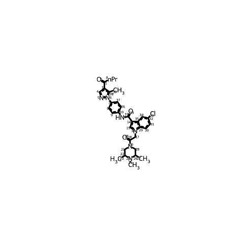 CCCC(=O)c1cnn(-c2ccc(NC(=O)c3cn(CC(=O)N4CC(C)N(C)C(C)C4)c4ccc(Cl)cc34)cc2)c1C